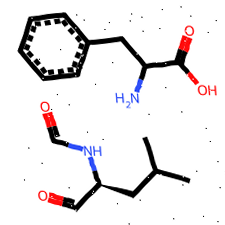 CC(C)C[C@@H]([C]=O)NC=O.NC(Cc1ccccc1)C(=O)O